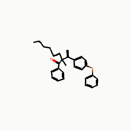 C=C(c1ccc(Sc2ccccc2)cc1)C(C)(CCCCCC)C(=O)c1ccccc1